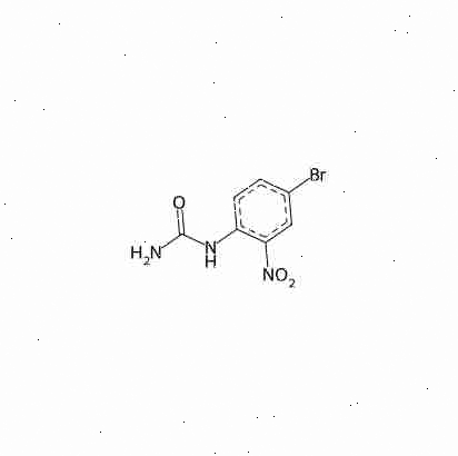 NC(=O)Nc1ccc(Br)cc1[N+](=O)[O-]